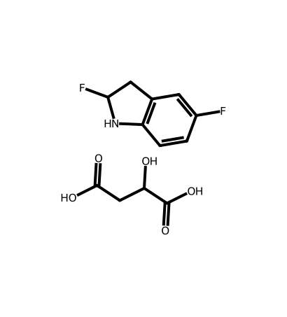 Fc1ccc2c(c1)CC(F)N2.O=C(O)CC(O)C(=O)O